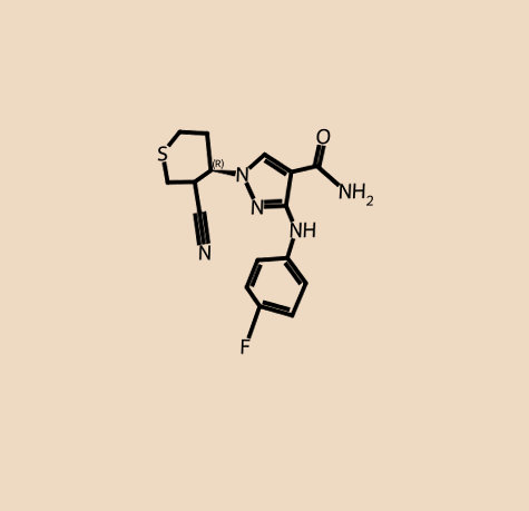 N#CC1CSCC[C@H]1n1cc(C(N)=O)c(Nc2ccc(F)cc2)n1